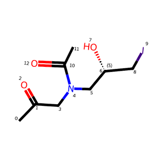 CC(=O)CN(C[C@H](O)CI)C(C)=O